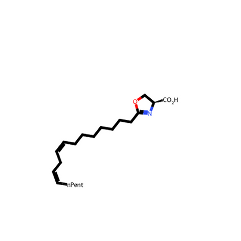 CCCCC/C=C\C/C=C\CCCCCCCC1=N[C@H](C(=O)O)CO1